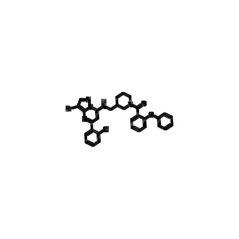 O=C(c1ccccc1Oc1ccccc1)N1CCCC(CNc2cc(-c3ccccc3Cl)nc3c(Br)cnn23)C1